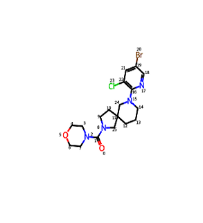 O=C(N1CCOCC1)N1CCC2(CCCN(c3ncc(Br)cc3Cl)C2)C1